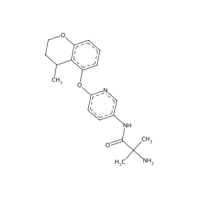 CC1CCOc2cccc(Oc3ccc(NC(=O)C(C)(C)N)cn3)c21